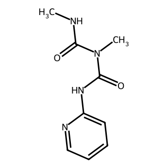 CNC(=O)N(C)C(=O)Nc1ccccn1